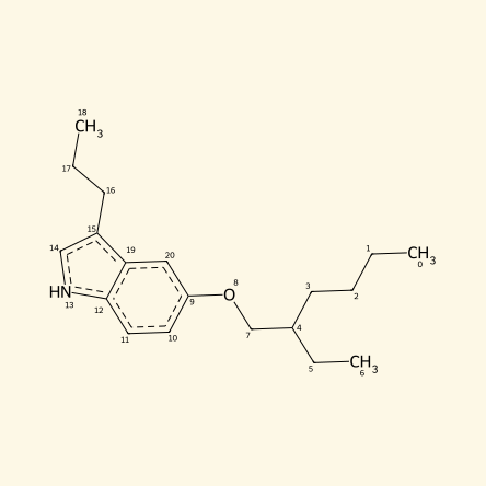 CCCCC(CC)COc1ccc2[nH]cc(CCC)c2c1